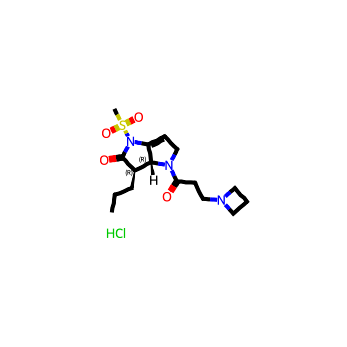 CCC[C@H]1C(=O)N(S(C)(=O)=O)C2=CCN(C(=O)CCN3CCC3)[C@@H]21.Cl